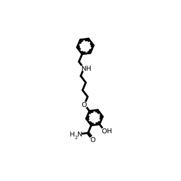 NC(=O)c1cc(OCCCCNCc2ccccc2)ccc1O